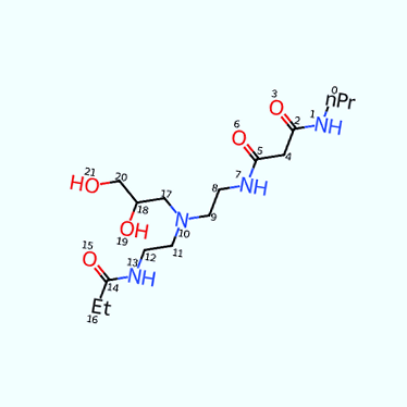 CCCNC(=O)CC(=O)NCCN(CCNC(=O)CC)CC(O)CO